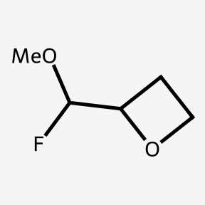 COC(F)C1CCO1